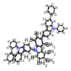 Bc1c(B)c(B)c2c(c1B)c1c(B)c(-c3ccc4c(c3)c3ccc(-c5ccccc5)cc3n4-c3ccccc3)c(B)c(B)c1n2-c1ccc2c(c1)c1ccccc1n2-c1ccccc1-c1ccccc1